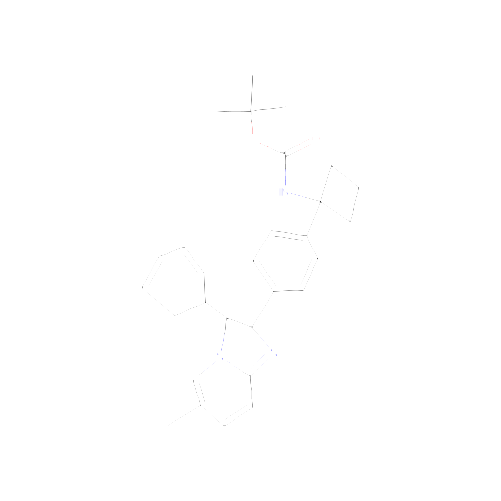 CC1=CN2C(=NC(c3ccc(C4(NC(=O)OC(C)(C)C)CCC4)cc3)C2C2C=CC=CC2)C=C1